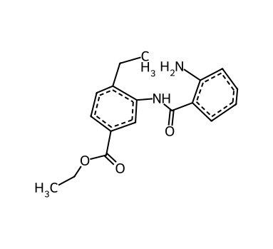 CCOC(=O)c1ccc(CC)c(NC(=O)c2ccccc2N)c1